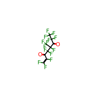 O=C(C(F)=C(F)F)C(F)(F)C(F)(C(=O)C(F)(F)C(F)(F)F)C(F)(F)F